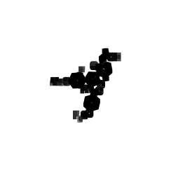 COc1cc(F)c([C@@H]2CN(c3c(C)ccn(CC(C)O)c3=O)C(=O)[C@H]2NC(=O)c2ccc(OC(F)(F)F)cc2)c(F)c1